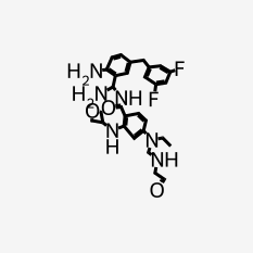 CCN(CNCC=O)c1ccc(C(=O)NC(N)c2cc(Cc3cc(F)cc(F)c3)ccc2N)c(NC2COC2)c1